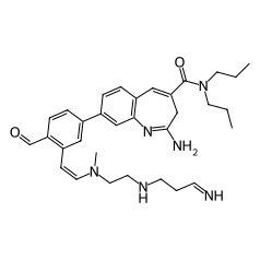 CCCN(CCC)C(=O)C1=Cc2ccc(-c3ccc(C=O)c(/C=C\N(C)CCNCCC=N)c3)cc2N=C(N)C1